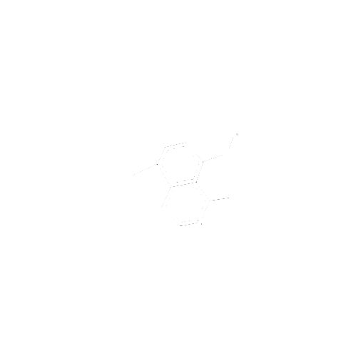 CCCOc1ccc(S(=O)(=O)O)c2ccnc(Cl)c12